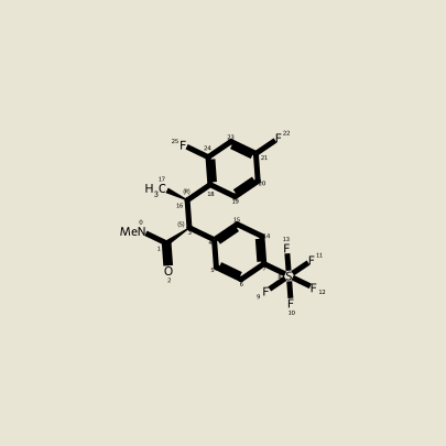 CNC(=O)[C@H](c1ccc(S(F)(F)(F)(F)F)cc1)[C@@H](C)c1ccc(F)cc1F